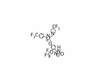 O=c1[nH]c(-c2ccc(OCc3sc(-c4ccc(C(F)(F)F)cc4)nc3CN3CCC(C(F)(F)F)CC3)cc2OC(F)C(F)F)no1